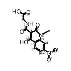 Cn1c(=O)c(C(=O)NCC(=O)O)c(O)c2ccc([N+](=O)[O-])cc21